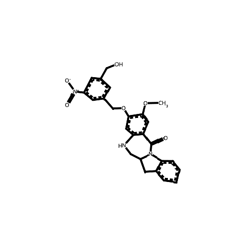 COc1cc2c(cc1OCc1cc(CO)cc([N+](=O)[O-])c1)NCC1Cc3ccccc3N1C2=O